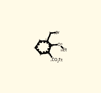 CCOC(=O)c1cccc(CBr)c1OCC